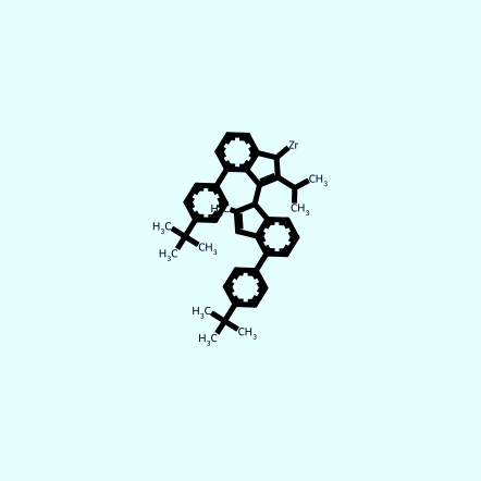 CC1=Cc2c(-c3ccc(C(C)(C)C)cc3)cccc2C1C1=C(C(C)C)[CH]([Zr])c2cccc(-c3ccc(C(C)(C)C)cc3)c21